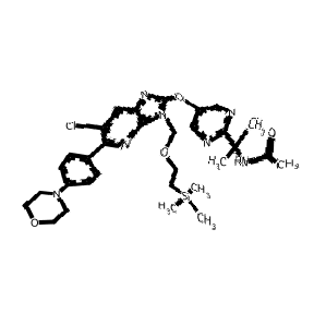 CC(=O)NC(C)(C)c1ncc(Oc2nc3cc(Cl)c(-c4ccc(N5CCOCC5)cc4)nc3n2COCC[Si](C)(C)C)cn1